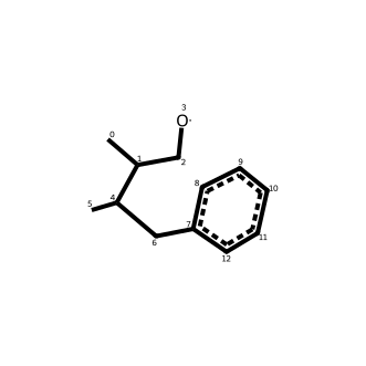 CC(C[O])C(C)Cc1ccccc1